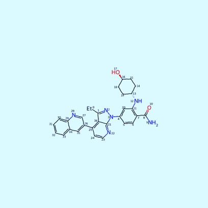 CCc1nn(-c2ccc(C(N)=O)c(N[C@H]3CC[C@H](O)CC3)c2)c2nccc(-c3cnc4ccccc4c3)c12